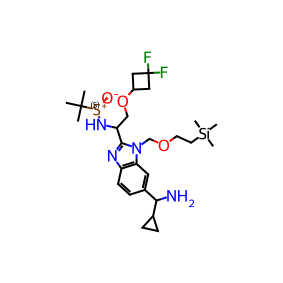 CC(C)(C)[S@@+]([O-])NC(COC1CC(F)(F)C1)c1nc2ccc(C(N)C3CC3)cc2n1COCC[Si](C)(C)C